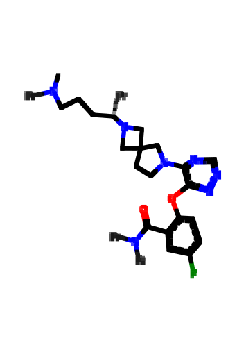 CCN(C(=O)c1cc(F)ccc1Oc1nncnc1N1CCC2(C1)CN([C@H](CCCN(C)C(C)C)C(C)C)C2)C(C)C